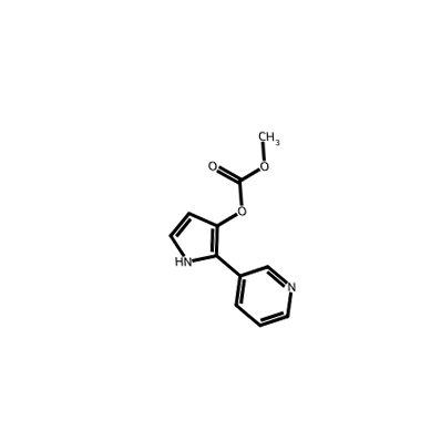 COC(=O)Oc1cc[nH]c1-c1cccnc1